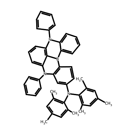 Cc1cc(C)c(N(c2ccc3c(c2)N(c2ccccc2)c2cccc4c2B3c2ccccc2N4c2ccccc2)c2c(C)cc(C)cc2C)c(C)c1